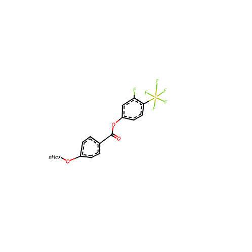 CCCCCCOc1ccc(C(=O)Oc2ccc(S(F)(F)(F)(F)F)c(F)c2)cc1